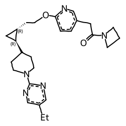 CCc1cnc(N2CCC([C@H]3C[C@@H]3CCOc3ccc(CC(=O)N4CCC4)cn3)CC2)nc1